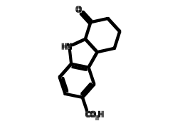 O=C(O)c1ccc2c(c1)C1CCCC(=O)C1N2